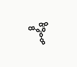 c1cc(N(c2ccc(-c3ccc4ccccc4c3)cc2)c2ccc(-c3ccc4ccccc4c3)cc2)cc(-n2c3ccccc3c3ccccc32)c1